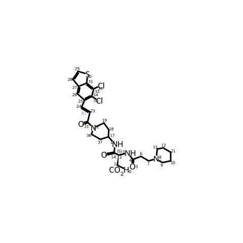 O=C(O)C[C@H](NC(=O)CCN1CCCCC1)C(=O)NC1CCN(C(=O)/C=C/c2cc3ccsc3c(Cl)c2Cl)CC1